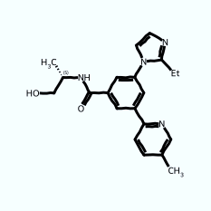 CCc1nccn1-c1cc(C(=O)N[C@@H](C)CO)cc(-c2ccc(C)cn2)c1